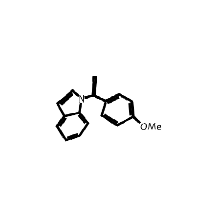 C=C(c1ccc(OC)cc1)n1ccc2ccccc21